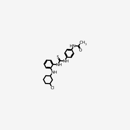 CC(=O)Nc1ccc(NC(=S)Nc2ccccc2NC2CCCC(Cl)C2)cc1